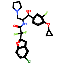 O=C(NC(CN1CCCC1)C(O)c1ccc(OC2CC2)c(F)c1)C(F)(F)c1cc2cc(Cl)ccc2o1